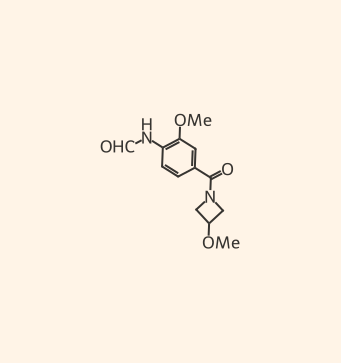 COc1cc(C(=O)N2CC(OC)C2)ccc1NC=O